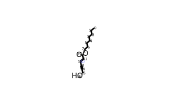 CCCCCCCCOC(=O)/C=C/C#CCO